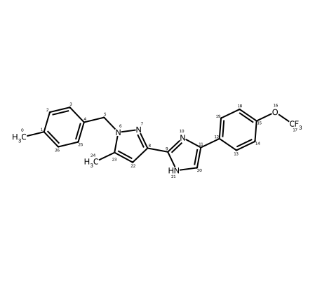 Cc1ccc(Cn2nc(-c3nc(-c4ccc(OC(F)(F)F)cc4)c[nH]3)cc2C)cc1